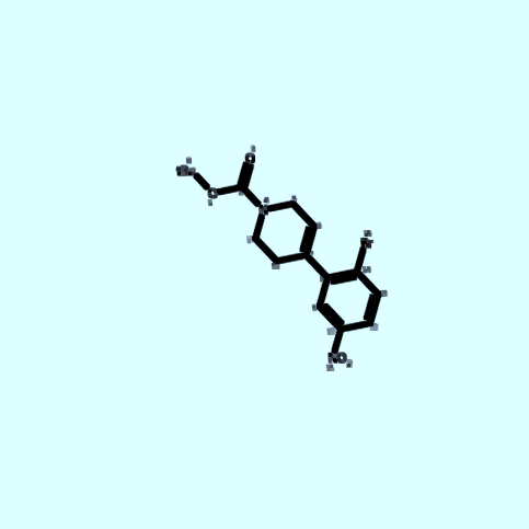 CC(C)(C)OC(=O)N1CC=C(c2cc([N+](=O)[O-])ccc2Br)CC1